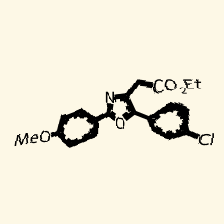 CCOC(=O)Cc1nc(-c2ccc(OC)cc2)oc1-c1ccc(Cl)cc1